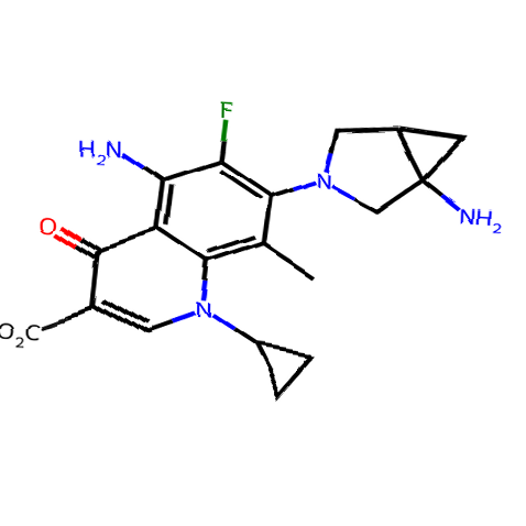 Cc1c(N2CC3CC3(N)C2)c(F)c(N)c2c(=O)c(C(=O)O)cn(C3CC3)c12